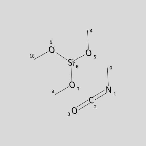 CN=C=O.CO[Si](OC)OC